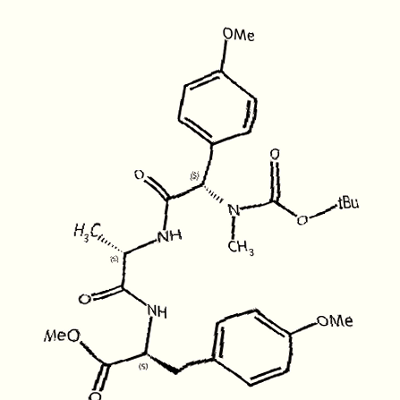 COC(=O)[C@H](Cc1ccc(OC)cc1)NC(=O)[C@H](C)NC(=O)[C@H](c1ccc(OC)cc1)N(C)C(=O)OC(C)(C)C